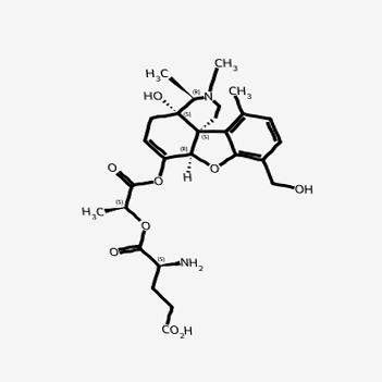 Cc1ccc(CO)c2c1[C@]13CCN(C)[C@H](C)[C@]1(O)CC=C(OC(=O)[C@H](C)OC(=O)[C@@H](N)CCC(=O)O)[C@@H]3O2